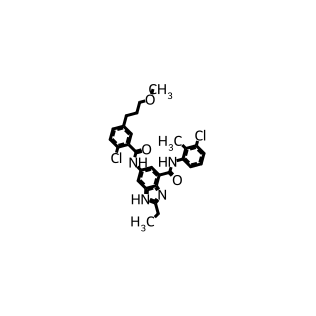 CCc1nc2c(C(=O)Nc3cccc(Cl)c3C)cc(NC(=O)c3cc(CCCOC)ccc3Cl)cc2[nH]1